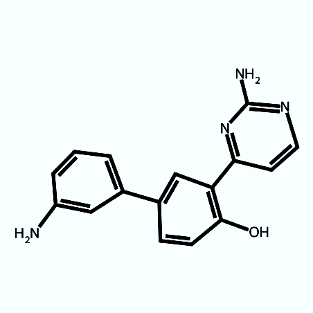 Nc1cccc(-c2ccc(O)c(-c3ccnc(N)n3)c2)c1